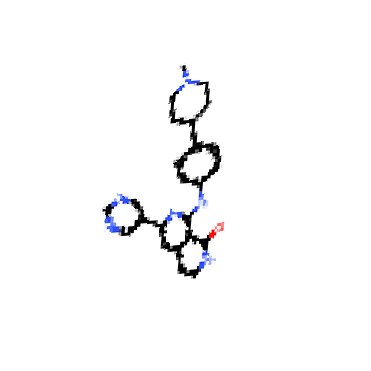 CN1CCC(c2ccc(Nc3nc(-c4cncnc4)cc4cc[nH]c(=O)c34)cc2)CC1